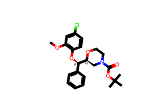 COc1cc(Cl)ccc1O[C@H](c1ccccc1)[C@@H]1CN(C(=O)OC(C)(C)C)CCO1